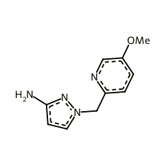 COc1ccc(Cn2ccc(N)n2)nc1